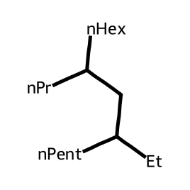 CCCCCCC(CCC)CC(CC)CCCCC